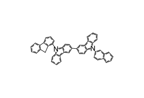 c1ccc2c(c1)Cc1c-2cccc1-n1c2ccccc2c2cc(-c3ccc4c(c3)c3ccccc3n4-c3ccc4ccccc4c3)ccc21